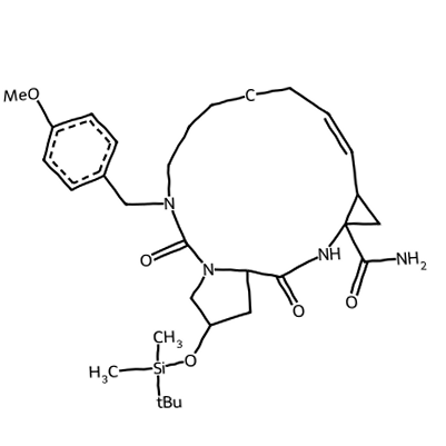 COc1ccc(CN2CCCCCC=CC3CC3(C(N)=O)NC(=O)C3CC(O[Si](C)(C)C(C)(C)C)CN3C2=O)cc1